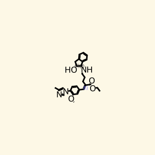 CCOC(=O)/C(=C/c1ccc(-n2cnc(C)c2)c(OC)c1)CCCN[C@@H]1c2ccccc2C[C@@H]1O